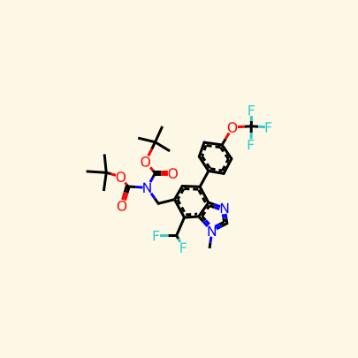 Cn1cnc2c(-c3ccc(OC(F)(F)F)cc3)cc(CN(C(=O)OC(C)(C)C)C(=O)OC(C)(C)C)c(C(F)F)c21